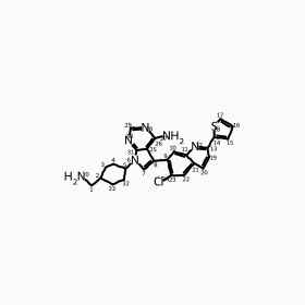 NCC1CCC(n2cc(-c3cc4nc(-c5cccs5)ccc4cc3Cl)c3c(N)ncnc32)CC1